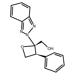 OC[C@]1(n2nc3ccccc3n2)OC[C@@H]1c1ccccc1